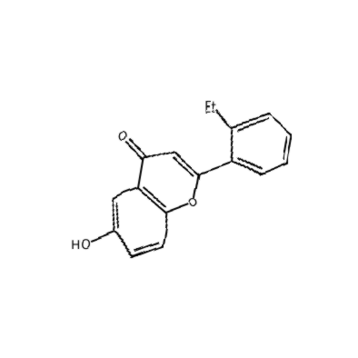 CCc1ccccc1-c1cc(=O)c2cc(O)ccc2o1